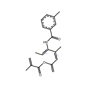 C=C(/C=C(C)\C(=C\C)NC(=O)c1cccc(C)c1)OC(=O)C(=C)C